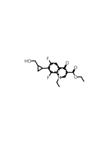 CCOC(=O)c1cn(CC)c2c(F)c(C3CC3CO)c(F)cc2c1=O